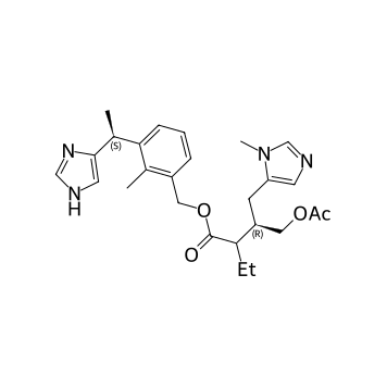 CCC(C(=O)OCc1cccc([C@H](C)c2c[nH]cn2)c1C)[C@H](COC(C)=O)Cc1cncn1C